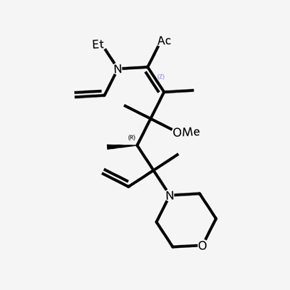 C=CN(CC)/C(C(C)=O)=C(/C)C(C)(OC)[C@H](C)C(C)(C=C)N1CCOCC1